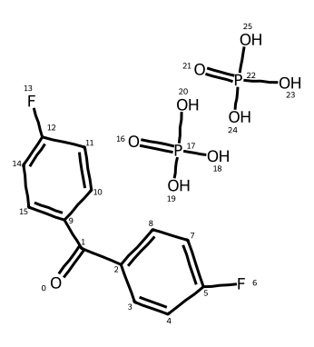 O=C(c1ccc(F)cc1)c1ccc(F)cc1.O=P(O)(O)O.O=P(O)(O)O